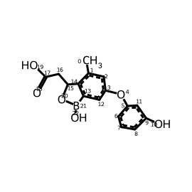 Cc1cc(Oc2cccc(O)c2)cc2c1C(CC(=O)O)OB2O